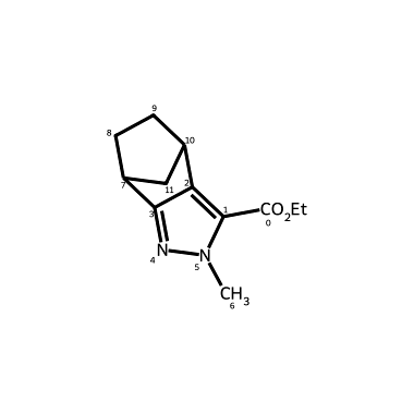 CCOC(=O)c1c2c(nn1C)C1CCC2C1